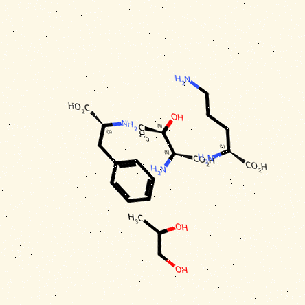 CC(O)CO.C[C@@H](O)[C@H](N)C(=O)O.NCCC[C@H](N)C(=O)O.N[C@@H](Cc1ccccc1)C(=O)O